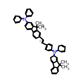 CC1(C)C2=CC(N(c3ccc(/C=C/c4ccc5c(c4)C(C)(C)c4cc(N(c6ccccc6)c6ccccc6)ccc4-5)cc3)C3C=CC=CC3)CC=C2c2ccccc21